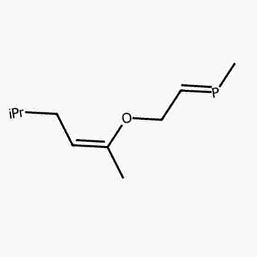 C/P=C/CO/C(C)=C\CC(C)C